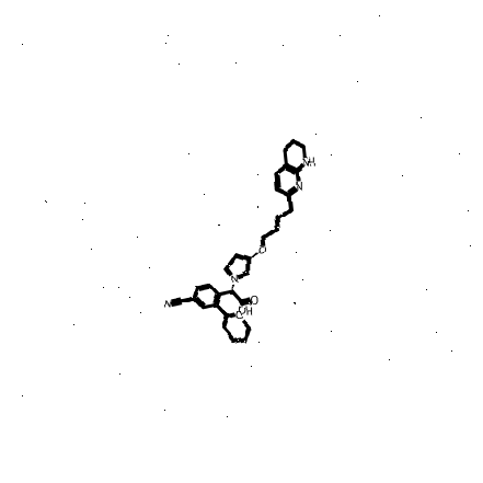 N#Cc1ccc([C@@H](C(=O)O)N2CC[C@@H](OCCCCc3ccc4c(n3)NCCC4)C2)c(C2CCCCO2)c1